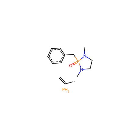 CN1CCN(C)P1(=O)Cc1ccccc1.P.[CH2]C=C